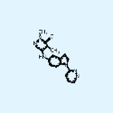 Cc1c(Nc2ccc3c(ccn3-c3cccnn3)c2)cnn(C)c1=O